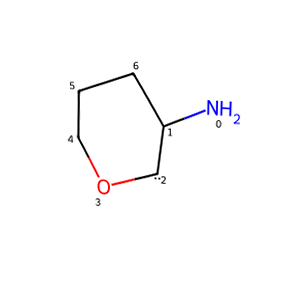 NC1[C]OCCC1